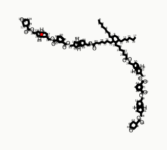 CCCCCCCCC1CCC(CCCCCC)C(CCCCCCC(=O)OCC2CC3CC2[C@@H]2CC(COC(=O)c4cccc(C(=O)OCC5CC6CC5[C@H]5CC(COC(=O)C7CCC8OC8C7)C[C@@H]65)c4)C[C@H]32)C1CCCCCCC(=O)OCC1CC2CC1[C@@H]1CC(COC(=O)c3cccc(C(=O)OCC4CC5CC4[C@H]4CC(COC(=O)C6CCC7OC7C6)C[C@@H]54)c3)C[C@H]21